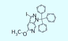 COc1cc2c(I)nn(C(c3ccccc3)(c3ccccc3)c3ccccc3)c2cn1